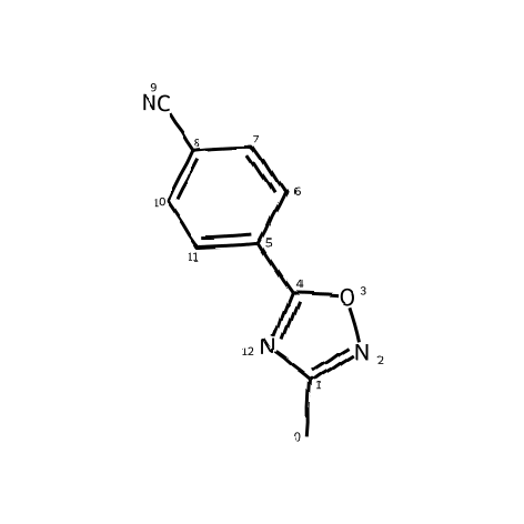 Cc1noc(-c2ccc(C#N)cc2)n1